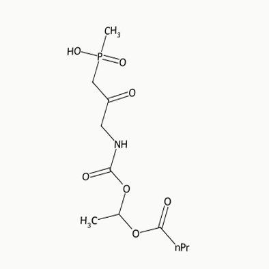 CCCC(=O)OC(C)OC(=O)NCC(=O)CP(C)(=O)O